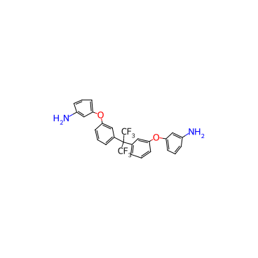 Nc1cccc(Oc2cccc(C(c3cccc(Oc4cccc(N)c4)c3)(C(F)(F)F)C(F)(F)F)c2)c1